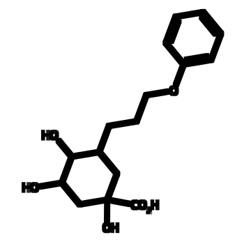 O=C(O)C1(O)CC(O)C(O)C(CCCOc2ccccc2)C1